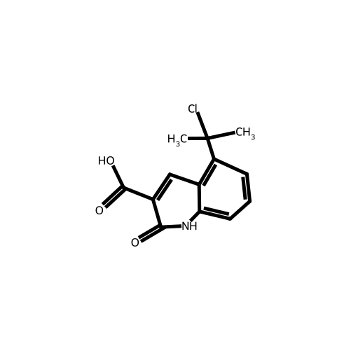 CC(C)(Cl)c1cccc2[nH]c(=O)c(C(=O)O)cc12